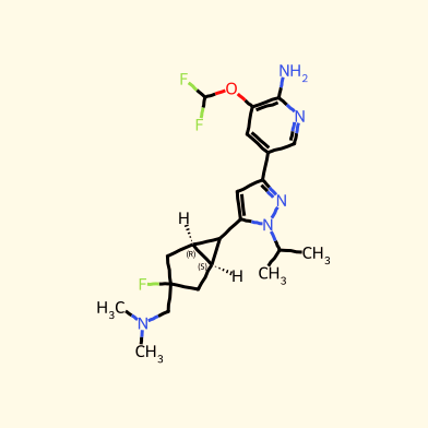 CC(C)n1nc(-c2cnc(N)c(OC(F)F)c2)cc1C1[C@H]2CC(F)(CN(C)C)C[C@@H]12